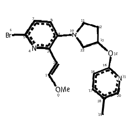 COC=Cc1nc(Br)ccc1N1CCC(Oc2ccc(C)cn2)C1